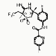 C[C@]1(CC(F)(F)F)C(=N)N[C@](C)(c2cc(NC(=O)c3ccc(F)cn3)ccc2F)CS1(=O)=O